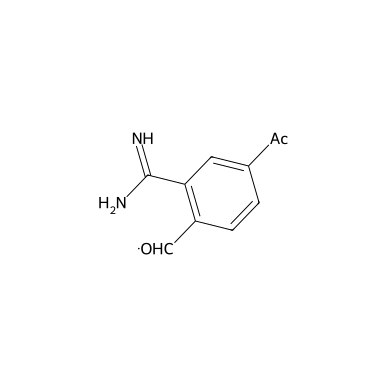 CC(=O)c1ccc([C]=O)c(C(=N)N)c1